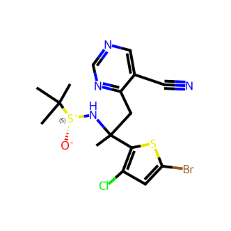 CC(Cc1ncncc1C#N)(N[S@+]([O-])C(C)(C)C)c1sc(Br)cc1Cl